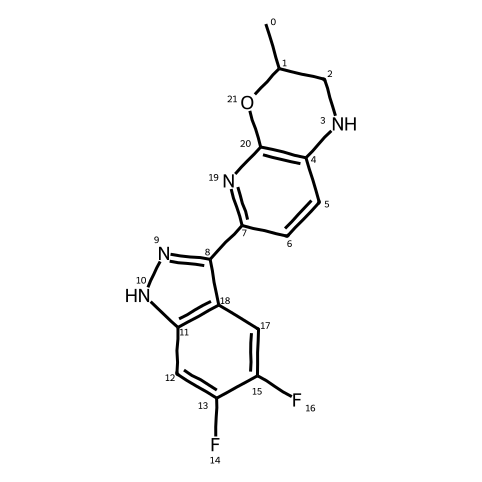 CC1CNc2ccc(-c3n[nH]c4cc(F)c(F)cc34)nc2O1